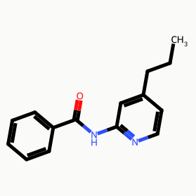 CCCc1ccnc(NC(=O)c2ccccc2)c1